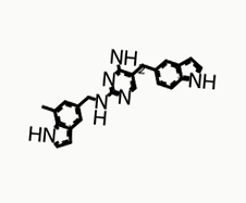 Cc1cc(CNc2ncc(Cc3ccc4[nH]ccc4c3)c(N)n2)cc2cc[nH]c12